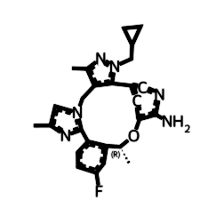 Cc1cn2c(n1)-c1ccc(F)cc1[C@@H](C)Oc1cc(cnc1N)-c1c(c(C)nn1CC1CC1)C2